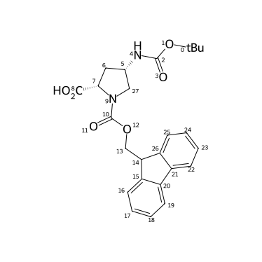 CC(C)(C)OC(=O)N[C@H]1C[C@@H](C(=O)O)N(C(=O)OCC2c3ccccc3-c3ccccc32)C1